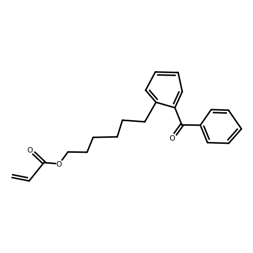 C=CC(=O)OCCCCCCc1ccccc1C(=O)c1ccccc1